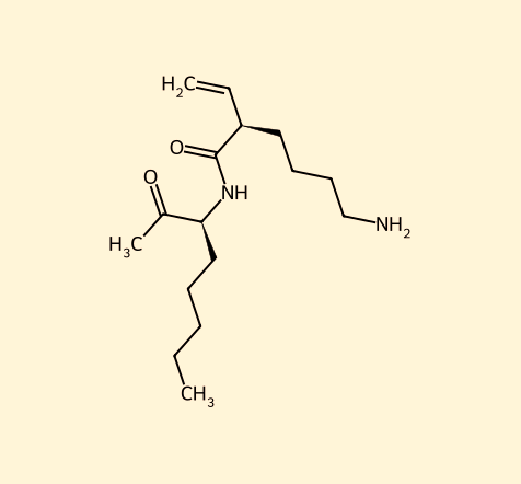 C=C[C@@H](CCCCN)C(=O)N[C@@H](CCCCC)C(C)=O